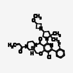 C=CC(=O)N1CCN2C(=O)c3c(N4CC(N5CC(OC)C5)CC4(C)C)nc(-c4ccccc4F)c(Cl)c3OC[C@H]2C1